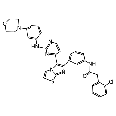 O=C(Cc1ccccc1Cl)Nc1cccc(-c2nc3sccn3c2-c2ccnc(Nc3cccc(N4CCOCC4)c3)n2)c1